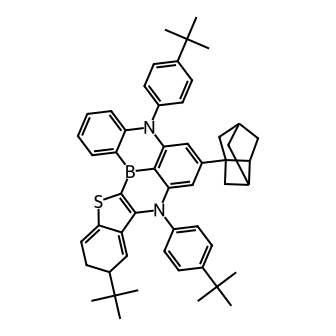 CC(C)(C)c1ccc(N2c3ccccc3B3c4sc5c(c4N(c4ccc(C(C)(C)C)cc4)c4cc(C67CC8CC(C6)C7C8)cc2c43)=CC(C(C)(C)C)CC=5)cc1